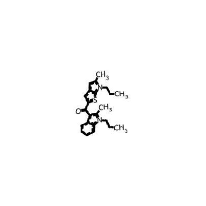 CCCn1c(C)c(C(=O)c2cc3cc(C)n(CCC)c3s2)c2ccccc21